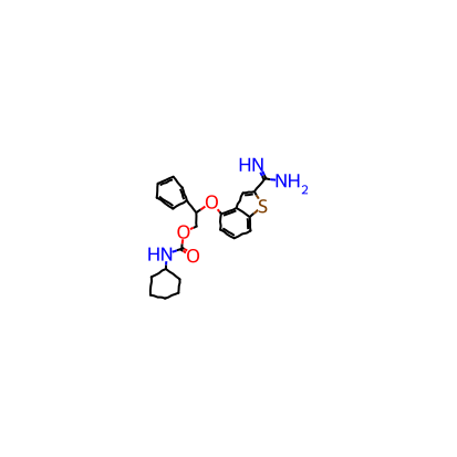 N=C(N)c1cc2c(OC(COC(=O)NC3CCCCC3)c3ccccc3)cccc2s1